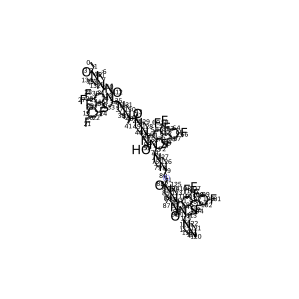 C=CC(=O)N1[C@H](C)CN(c2nc(=O)n3c4c(c(-c5ccc(F)cc5F)c(C(F)(F)F)cc24)SCC3CN2CCN(C(=C)C(=O)N3CCN(C4=NC(O)N5c6c4cc(C(F)(F)F)c(-c4ccc(F)cc4F)c6SCC5CN4CCN(C/C=C/C(=O)N5C[C@H](C)N(c6nc(=O)n7c8c(c(-c9ccc(F)cc9F)c(C(F)(F)F)cc68)SCC7CN6CCN(C)CC6)C[C@H]5C)CC4)CC3)CC2)C[C@@H]1C